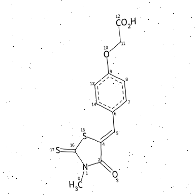 CN1C(=O)C(=Cc2ccc(OCC(=O)O)cc2)SC1=S